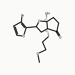 COCCC[C@]12CC(c3occc3Br)O[C@@]1(O)CCC2=O